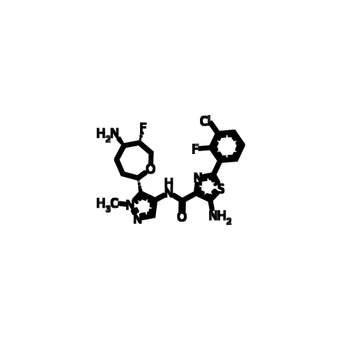 Cn1ncc(NC(=O)c2nc(-c3cccc(Cl)c3F)sc2N)c1[C@@H]1CC[C@@H](N)[C@H](F)CO1